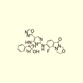 [2H]C([2H])(O)[C@@H](Nc1nc(Nc2ccc3c(=O)n4n(c3c2F)CCOC4)ncc1-c1nnco1)c1ccccc1